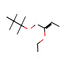 BC(C)(C)C(C)(C)OB/C(=C/C)OCC(C)CC